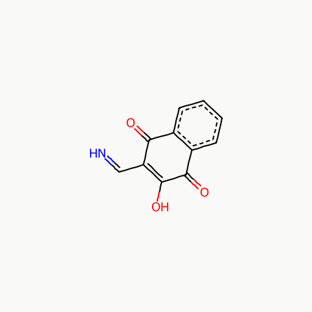 N=CC1=C(O)C(=O)c2ccccc2C1=O